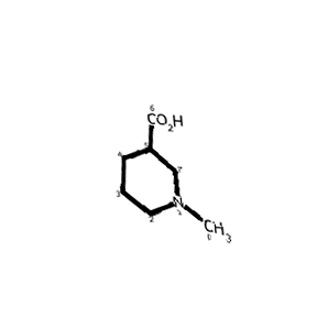 CN1CCCC(C(=O)O)C1